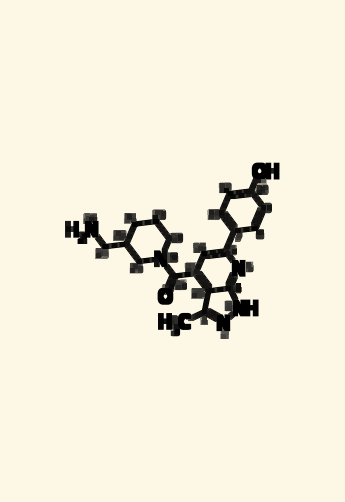 Cc1n[nH]c2nc(-c3ccc(O)cc3)cc(C(=O)N3CCCC(CN)C3)c12